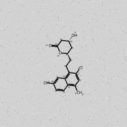 Cc1cc(Cl)c(CC[C@@H]2C[C@@H](O)CC(=O)O2)c2cc(Cl)ccc12